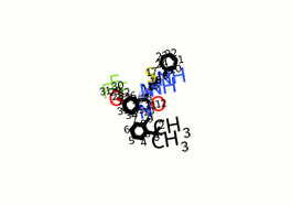 CC(C)c1ccccc1CN1C(=O)/C(=N\NC(=S)NC2=CC=CCC2)c2cc(OC(F)(F)F)ccc21